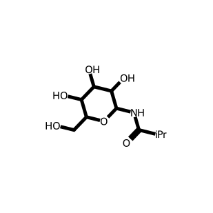 CC(C)C(=O)NC1OC(CO)C(O)C(O)C1O